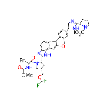 COC(=O)NC(C(=O)N1C[C@@H](COC(F)F)C[C@H]1c1nc2ccc3cc4c(cc3c2[nH]1)OCc1cc(-c2cnc(C3CCCN3C(=O)O)[nH]2)ccc1-4)C(C)C